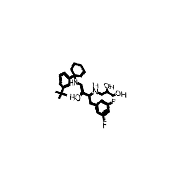 CC(C)(C)c1cccc(C2(NCC(O)C(Cc3cc(F)cc(F)c3)NCC(O)CO)CCCCC2)c1